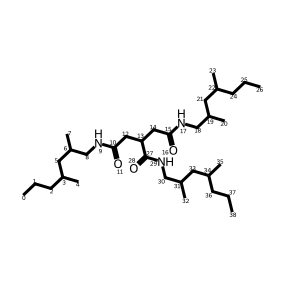 CCCC(C)CC(C)CNC(=O)CC(CC(=O)NCC(C)CC(C)CCC)C(=O)NCC(C)CC(C)CCC